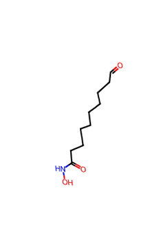 O=CCCCCCCCCC(=O)NO